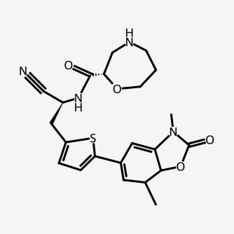 CC1C=C(c2ccc(C[C@@H](C#N)NC(=O)[C@@H]3CNCCCO3)s2)C=C2C1OC(=O)N2C